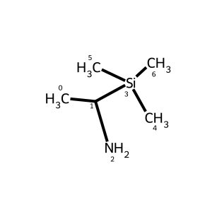 CC(N)[Si](C)(C)C